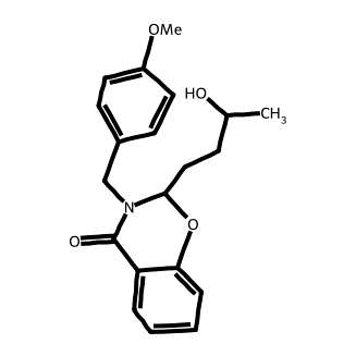 COc1ccc(CN2C(=O)c3ccccc3OC2CCC(C)O)cc1